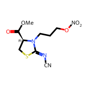 COC(=O)[C@@H]1CSC(=NC#N)N1CCCO[N+](=O)[O-]